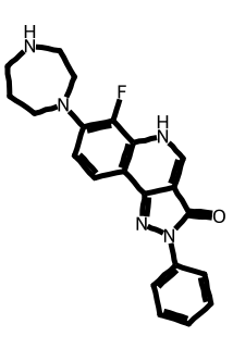 O=c1c2c[nH]c3c(F)c(N4CCCNCC4)ccc3c-2nn1-c1ccccc1